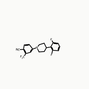 N#Cc1ccc(N2CCC(c3c(F)c[c]cc3F)CC2)cc1C(F)(F)F